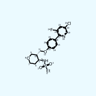 CCS(=O)(=O)N[C@H]1CCOC[C@@H]1COc1ccc(-c2ncc(Cl)cc2F)cc1